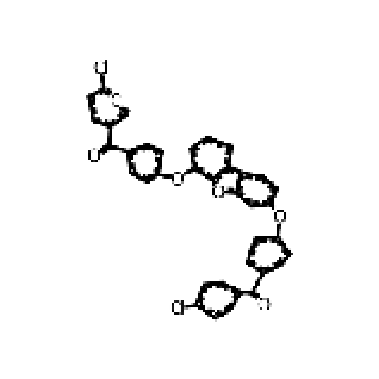 O=C(c1ccc(Cl)cc1)c1ccc(Oc2ccc3c(c2)oc2c(Oc4ccc(C(=O)c5ccc(Cl)cc5)cc4)cccc23)cc1